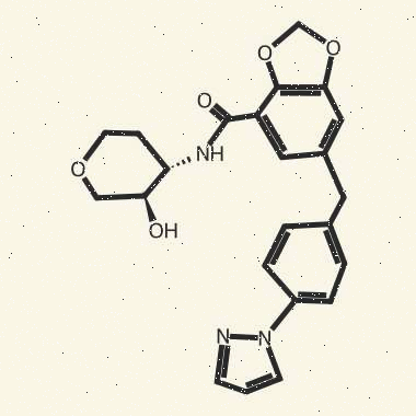 O=C(N[C@H]1CCOC[C@@H]1O)c1cc(Cc2ccc(-n3cccn3)cc2)cc2c1OCO2